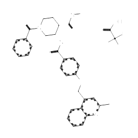 Cc1cc(COc2ccc(C(=O)N[C@@H]3CN(C(=O)c4ccccc4)CC[C@@H]3C(=O)NO)cc2)c2ccccc2n1.O=C(O)C(F)(F)F